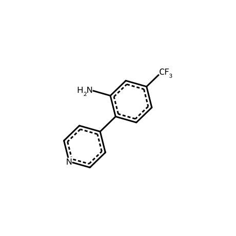 Nc1cc(C(F)(F)F)ccc1-c1ccncc1